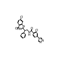 O=C(NCC(c1ccccc1)c1nc2cc(Cl)ccc2c(=O)[nH]1)c1ccc(-n2cnnc2)cc1Cl